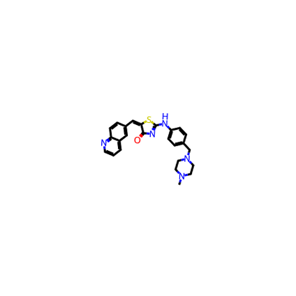 CN1CCN(Cc2ccc(NC3=NC(=O)C(=Cc4ccc5ncccc5c4)S3)cc2)CC1